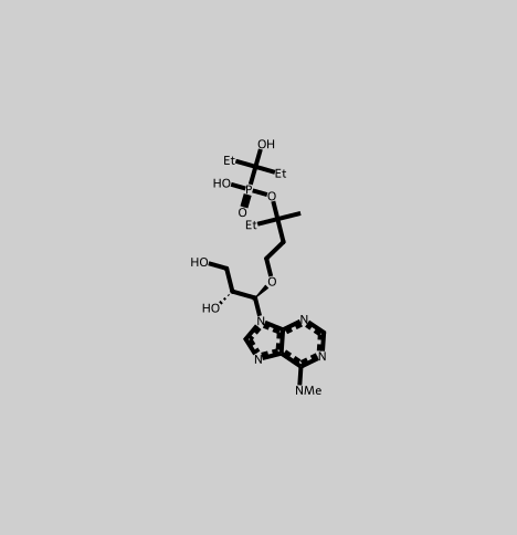 CCC(C)(CCO[C@H]([C@H](O)CO)n1cnc2c(NC)ncnc21)OP(=O)(O)C(O)(CC)CC